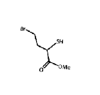 COC(=O)C(S)CCBr